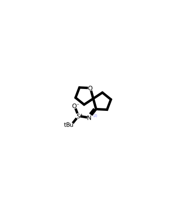 CC(C)(C)[S+]([O-])/N=C1/CCCC12CCCO2